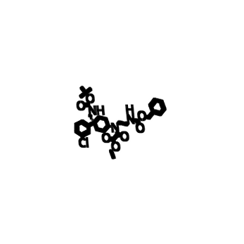 CCOC(=O)C(=O)N(CCNC(=O)OCc1ccccc1)[C@H]1CC[C@](CNC(=O)OC(C)(C)C)(c2cccc(Cl)c2)CC1